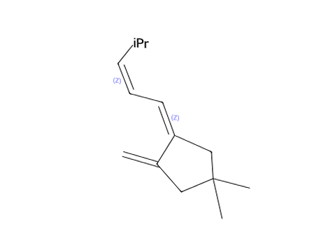 C=C1CC(C)(C)C/C1=C/C=C\C(C)C